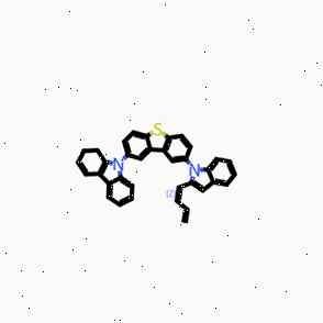 C=C/C=C\c1cc2ccccc2n1-c1ccc2sc3ccc(-n4c5c(c6ccccc64)C=CCC5)cc3c2c1